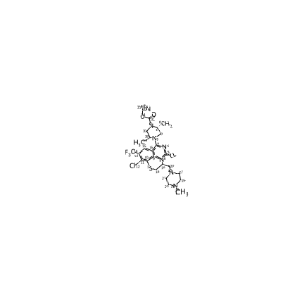 C[C@@H]1CN(c2nc(=O)n3c4c(c(Cl)c(C(F)(F)F)cc24)SC[C@@H]3CN2CCN(C)CC2)[C@@H](C)CN1C(=O)OC(C)(C)C